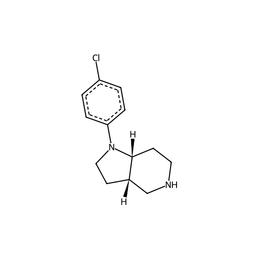 Clc1ccc(N2CC[C@H]3CNCC[C@H]32)cc1